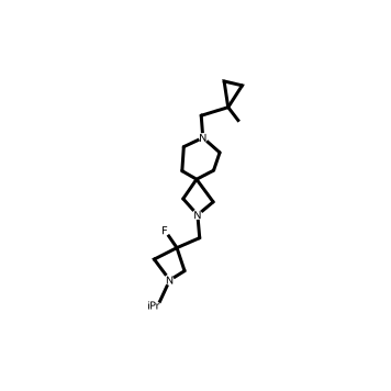 CC(C)N1CC(F)(CN2CC3(CCN(CC4(C)CC4)CC3)C2)C1